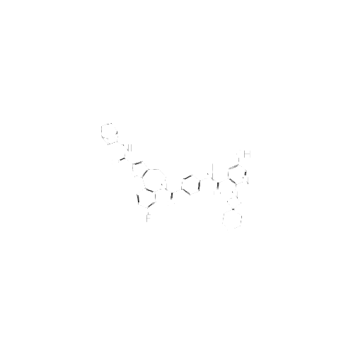 Cc1cnc(N2CC3(CCOCC3)C2)c(C(=O)Nc2ccc(C(=O)N3CCc4cc(C(=O)NC5CC6CCC5O6)sc4-c4ccc(F)cc43)cc2)c1